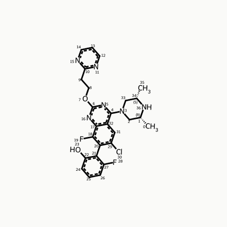 C[C@@H]1CN(c2nc(OCCc3ncccn3)nc3c(F)c(-c4c(O)cccc4F)c(Cl)cc23)C[C@H](C)N1